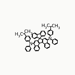 CC(C)c1ccc(N(c2ccccc2)c2cc3c(c4ccccc24)-c2c(cc(N(c4ccccc4)c4ccc(C(C)C)cc4)c4ccccc24)C32c3ccccc3-c3ccccc32)cc1